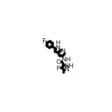 Cc1n[nH]c(C(=O)Nc2cnc3[nH]c(-c4ccc(F)cc4)cc3c2)c1F